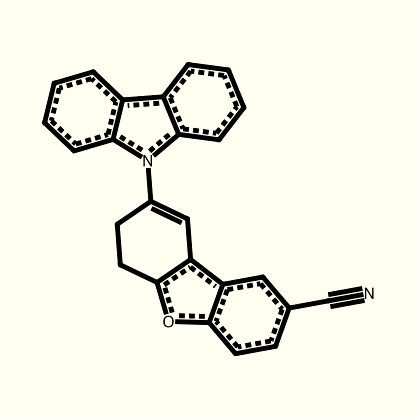 N#Cc1ccc2oc3c(c2c1)C=C(n1c2ccccc2c2ccccc21)CC3